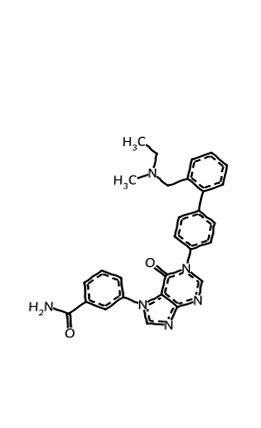 CCN(C)Cc1ccccc1-c1ccc(-n2cnc3ncn(-c4cccc(C(N)=O)c4)c3c2=O)cc1